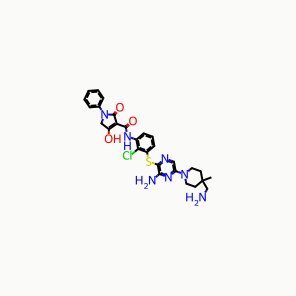 CC1(CN)CCN(c2cnc(Sc3cccc(NC(=O)C4=C(O)CN(c5ccccc5)C4=O)c3Cl)c(N)n2)CC1